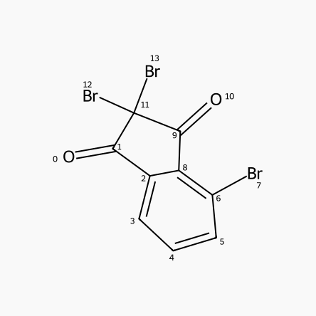 O=C1c2cccc(Br)c2C(=O)C1(Br)Br